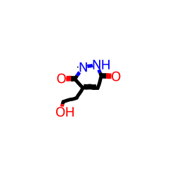 O=C1C=C(CCO)C(=O)[N]N1